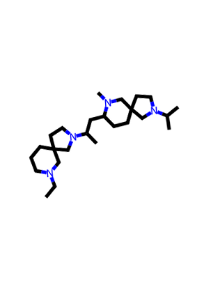 CCN1CCCC2(CCN(C(C)CC3CCC4(CCN(C(C)C)C4)CN3C)C2)C1